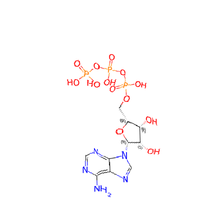 Nc1ncnc2c1ncn2[C@@H]1O[C@H](COP(=O)(O)OP(=O)(O)OP(=O)(O)O)[C@H](O)[C@@H]1O